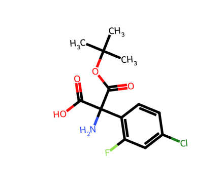 CC(C)(C)OC(=O)C(N)(C(=O)O)c1ccc(Cl)cc1F